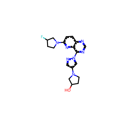 OC1CCN(c2cnn(-c3ncnc4ccc(N5CCC(F)C5)nc34)c2)C1